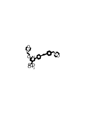 COC(=O)c1cc(OCCN2CCOCC2)nc(-c2ccc(C#Cc3ccc(CN4CCOCC4)cc3)cc2)c1